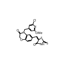 COc1cc(CN2C(=O)COc3ccc(C=C4SC(=S)NC4=O)cc32)cc(Cl)n1